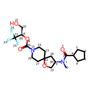 CN(C(=O)C1CCCC1)[C@H]1COC2(CCN(C(=O)O[C@H](CO)C(F)(F)F)CC2)C1